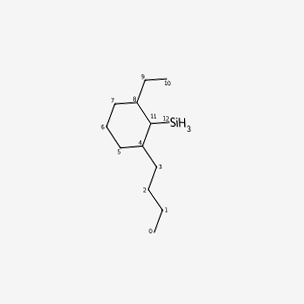 CCCCC1CCCC(CC)C1[SiH3]